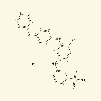 Cl.NS(=O)(=O)c1cccc(Nc2ncc(F)c(Nc3ccc(Cc4ccncc4)cc3)n2)c1